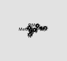 COc1ccc(CN(c2ccncn2)S(=O)(=O)c2cc(F)c(O[C@H]3CCCC[C@@H]3c3cnn(C4CCCCO4)c3)cc2F)c(OC)c1